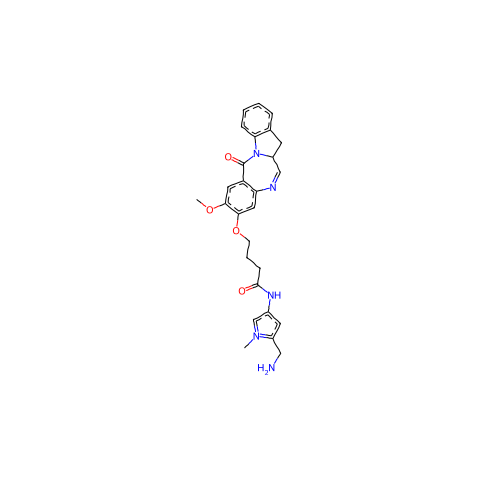 COc1cc2c(cc1OCCCC(=O)Nc1cc(CN)n(C)c1)N=CC1Cc3ccccc3N1C2=O